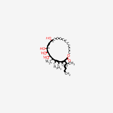 C=CC=C[C@H](C)C1=C(C)C(C)=C(C)[C@@H](C)[C@H](O)C(O)[C@@H](O)C=C[C@@H](O)CCCCCCCCCOC1=O